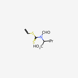 C=CSC(=S)N(C=O)C(C(=O)O)C(C)C